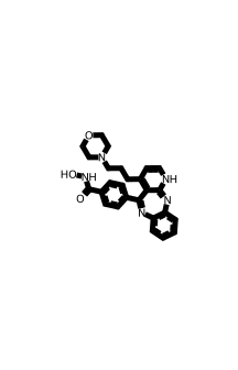 O=C(NO)c1ccc(C2=Nc3ccccc3N=C3NC=CC(CCCN4CCOCC4)=C32)cc1